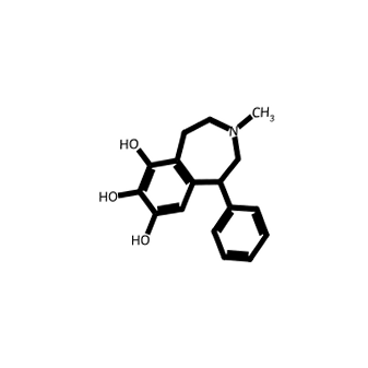 CN1CCc2c(cc(O)c(O)c2O)C(c2ccccc2)C1